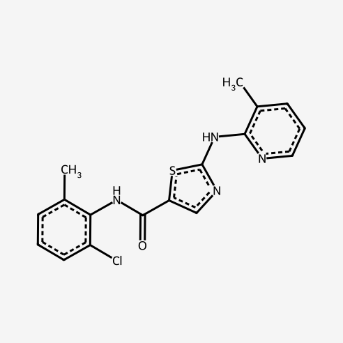 Cc1cccnc1Nc1ncc(C(=O)Nc2c(C)cccc2Cl)s1